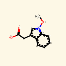 COn1cc(CC(=O)O)c2ccccc21